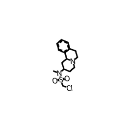 CN(C1CCN2CCc3ccccc3C2C1)S(=O)(=O)CCl